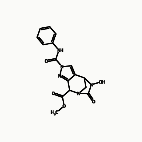 COC(=O)C1c2nn(C(=O)Nc3ccccc3)cc2C2CN1C(=O)N2O